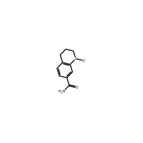 NC(=O)c1ccc2c(c1)[S+]([O-])CCC2